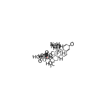 C[C@@H]1C[C@H]2[C@@H]3CCC4=CC(=O)C=C[C@]4(C)[C@@]3(F)[C@@H](O)C[C@]2(C)[C@@]1(OP(=O)(O)O)C(=O)COP(=O)(O)O.[NaH].[NaH]